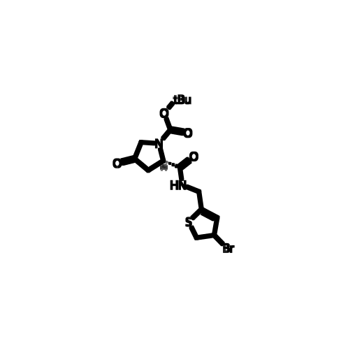 CC(C)(C)OC(=O)N1CC(=O)C[C@H]1C(=O)NCC1=CC(Br)CS1